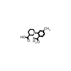 Cc1ccc(C(N)=O)c(N2CCCC(C(=O)O)C2)c1